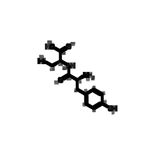 N[C@@H](Cc1ccc(O)cc1)C(=O)N[C@@H](CS)C(=O)O